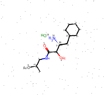 CC(=O)O[C@H](C)CNC(=O)C(O)[C@H](N)CC1CCCCC1.Cl